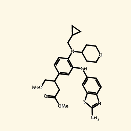 COCC(CC(=O)OC)c1ccc(N(CC2CC2)C2CCOCC2)c(Nc2ccc3nc(C)sc3c2)c1